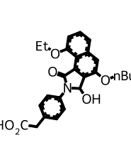 CCCCOc1cc2cccc(OCC)c2c2c1C(O)N(c1ccc(CC(=O)O)cc1)C2=O